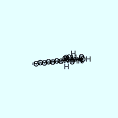 CCOCCOCCOCCOCCOCCOCCOCCC(=O)N[C@@H](CCC(=O)NCCCC[C@H](NC)C(=O)O)C(=O)O